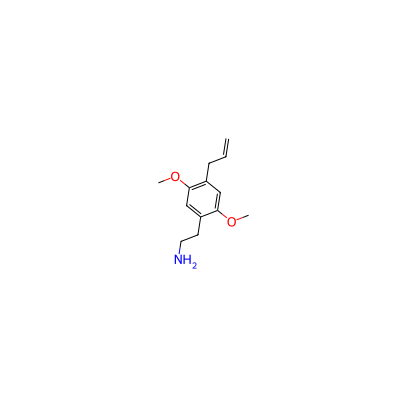 C=CCc1cc(OC)c(CCN)cc1OC